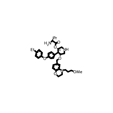 CCc1ccc(Oc2ccc(C3[C@@H](OCc4ccc5c(c4)N(CCCOC)CCO5)CNC[C@H]3OC(=O)[C@@H](N)C(C)C)cc2)cc1